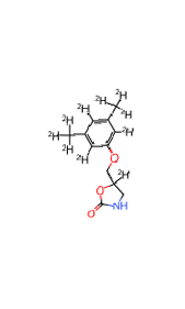 [2H]c1c(OCC2([2H])CNC(=O)O2)c([2H])c(C([2H])([2H])[2H])c([2H])c1C([2H])([2H])[2H]